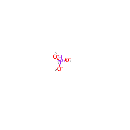 [O-][IH+3]([O-])[O-]